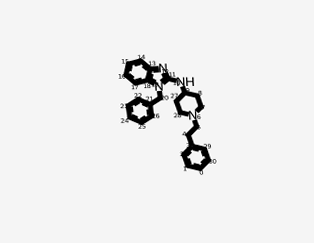 c1ccc(CCN2CCC(Nc3nc4ccccc4n3Cc3ccccc3)CC2)cc1